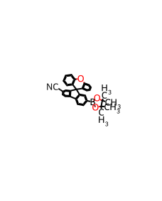 CC1(C)OB(c2ccc3c(c2)C2(c4ccccc4Oc4ccccc42)c2cc(C#N)ccc2-3)OC1(C)C